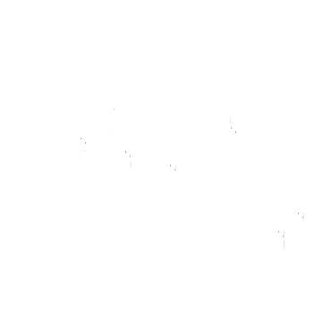 CC1Nc2ccc(NC(=O)NC3CCCC3)nc2C=C1c1cn[nH]c1